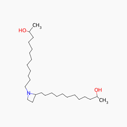 CC(O)CCCCCCCCCCC1CCN1CCCCCCCCCCC(C)O